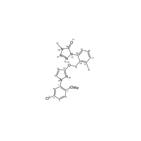 COc1ccc(Cl)cc1-n1ccc(OCc2c(C)cccc2-n2nnn(C)c2=O)n1